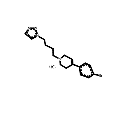 Brc1ccc(C2=CCN(CCCCn3ccnn3)CC2)cc1.Cl